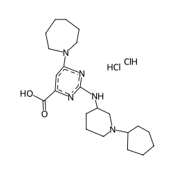 Cl.Cl.O=C(O)c1cc(N2CCCCCC2)nc(NC2CCCN(C3CCCCC3)C2)n1